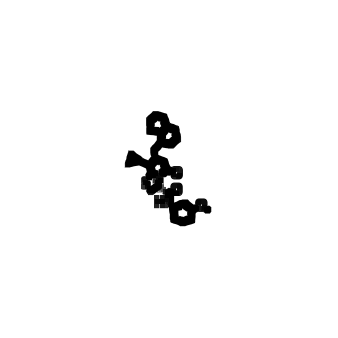 COc1cccc(NC(=O)[C@@H]2CSc3c(C4CC4)c(Cc4cccc5ccccc45)cc(=O)n32)c1